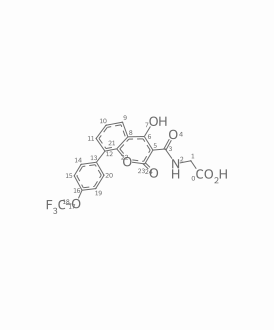 O=C(O)CNC(=O)c1c(O)c2cccc(-c3ccc(OC(F)(F)F)cc3)c2oc1=O